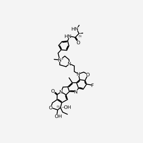 CC[C@]1(O)c2cc3n(c(=O)c2COC1O)Cc1c-3nc2cc(F)c3c(c2c1C)N(CCN1CC[N+](C)(Cc2ccc(NC(=O)[C@H](C)NC)cc2)CC1)CO3